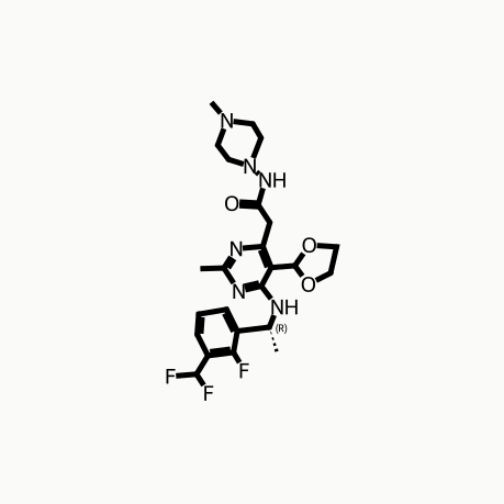 Cc1nc(CC(=O)NN2CCN(C)CC2)c(C2OCCO2)c(N[C@H](C)c2cccc(C(F)F)c2F)n1